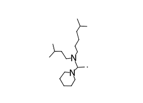 [CH2]C(N1CCCCC1)N(CCCCC(C)C)CCC(C)C